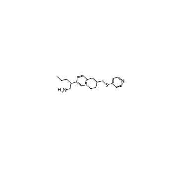 CCCC(CN)c1ccc2c(c1)CCC(CSc1ccncc1)C2